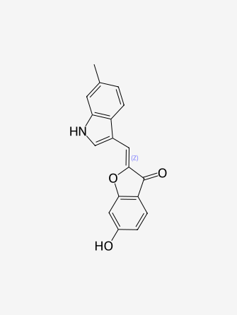 Cc1ccc2c(/C=C3\Oc4cc(O)ccc4C3=O)c[nH]c2c1